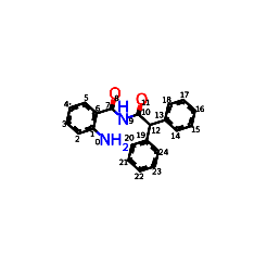 Nc1cc[c]cc1C(=O)NC(=O)C(c1ccccc1)c1ccccc1